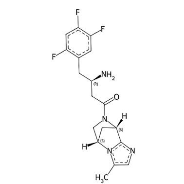 Cc1cnc2n1[C@H]1C[C@@H]2N(C(=O)C[C@H](N)Cc2cc(F)c(F)cc2F)C1